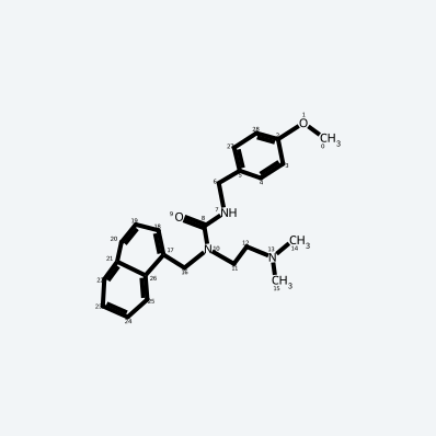 COc1ccc(CNC(=O)N(CCN(C)C)Cc2cccc3ccccc23)cc1